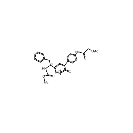 CC(=O)OCC(=O)Nc1ccc(-c2cc([C@H](Cc3ccccc3)NC(=O)OC(C)(C)C)n[nH]c2=O)cc1